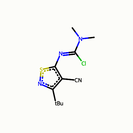 CN(C)C(Cl)=Nc1snc(C(C)(C)C)c1C#N